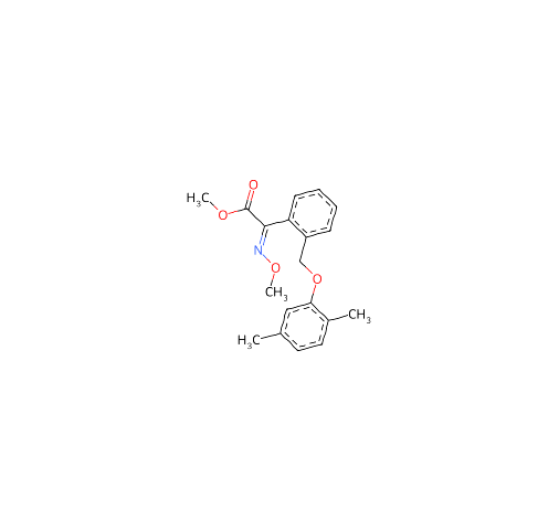 CO/N=C(/C(=O)OC)c1ccccc1COc1cc(C)ccc1C